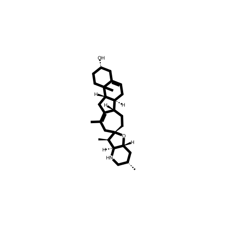 CC1=C2C[C@H]3[C@@H](CC=C4C[C@@H](O)CCC43C)[C@@H]2CC[C@@]2(C1)O[C@@H]1C[C@H](C)CN[C@H]1[C@H]2C